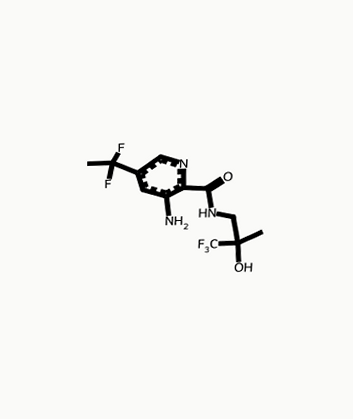 CC(F)(F)c1cnc(C(=O)NCC(C)(O)C(F)(F)F)c(N)c1